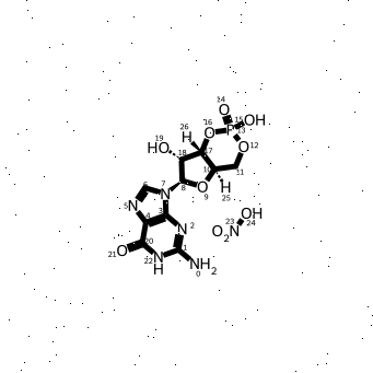 Nc1nc2c(ncn2[C@@H]2O[C@@H]3COP(=O)(O)O[C@H]3[C@H]2O)c(=O)[nH]1.O=[N+]([O-])O